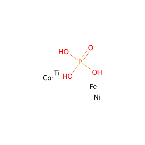 O=P(O)(O)O.[Co].[Fe].[Ni].[Ti]